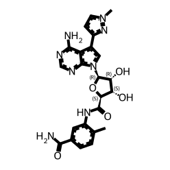 Cc1ccc(C(N)=O)cc1NC(=O)[C@H]1O[C@@H](n2cc(-c3ccn(C)n3)c3c(N)ncnc32)[C@H](O)[C@@H]1O